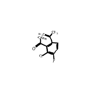 C=C(c1ccc(F)c(Cl)c1C(=O)OC)C(F)(F)F